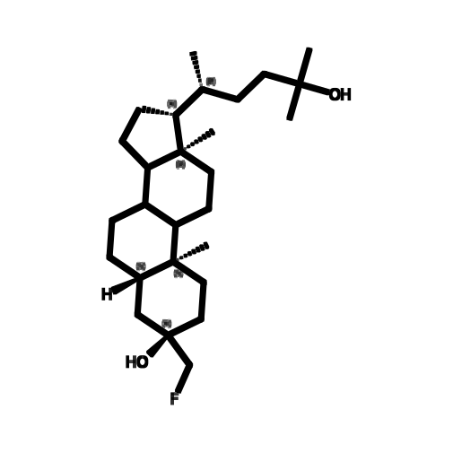 C[C@H](CCC(C)(C)O)[C@H]1CCC2C3CC[C@H]4C[C@@](O)(CF)CC[C@]4(C)C3CC[C@@]21C